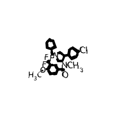 COc1ccc(C(=O)N(C)C2CN(Cc3ccccc3)CC2c2ccc(Cl)cc2)cc1C(F)(F)F